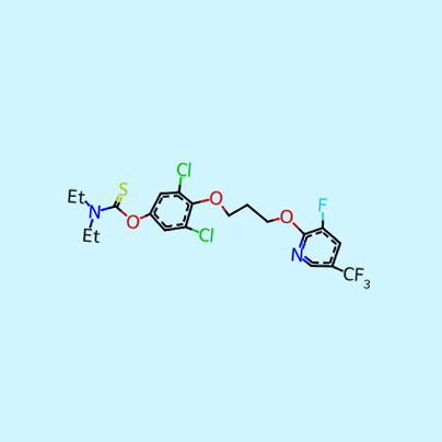 CCN(CC)C(=S)Oc1cc(Cl)c(OCCCOc2ncc(C(F)(F)F)cc2F)c(Cl)c1